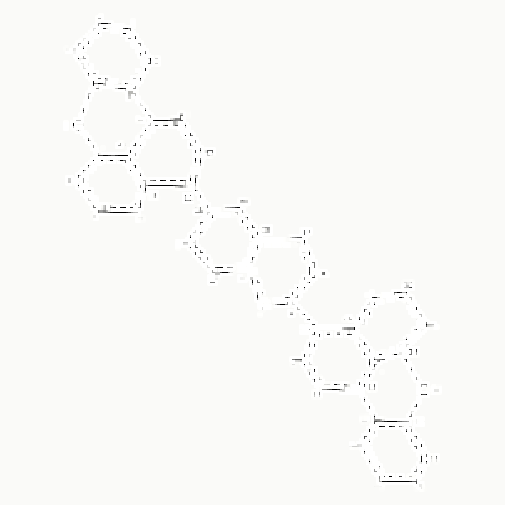 c1ccc2c(c1)Oc1cccc3c(-c4ccc5cc(-c6ccc7c8c(cccc68)Oc6ccccc6-7)ccc5c4)ccc-2c13